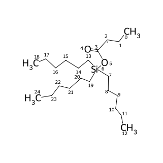 CC[CH]C(=O)O[Si](CCCCCC)(CCCCCC)CCCCCC